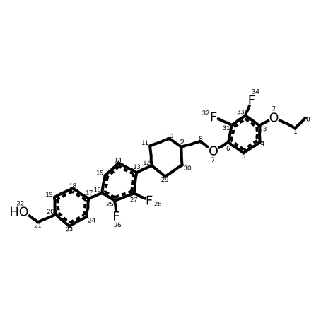 CCOc1ccc(OCC2CCC(c3ccc(-c4ccc(CO)cc4)c(F)c3F)CC2)c(F)c1F